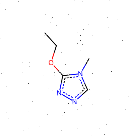 CCOc1nn[c]n1C